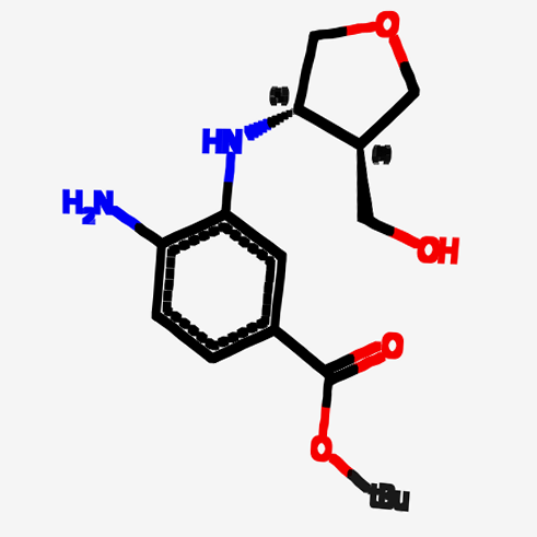 CC(C)(C)OC(=O)c1ccc(N)c(N[C@@H]2COC[C@H]2CO)c1